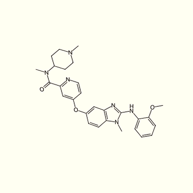 COc1ccccc1Nc1nc2cc(Oc3ccnc(C(=O)N(C)C4CCN(C)CC4)c3)ccc2n1C